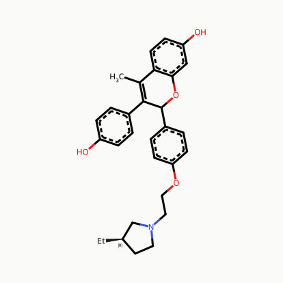 CC[C@@H]1CCN(CCOc2ccc(C3Oc4cc(O)ccc4C(C)=C3c3ccc(O)cc3)cc2)C1